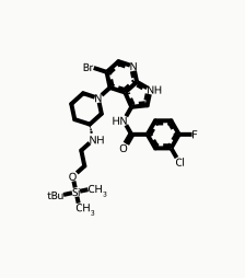 CC(C)(C)[Si](C)(C)OCCN[C@@H]1CCCN(c2c(Br)cnc3[nH]cc(NC(=O)c4ccc(F)c(Cl)c4)c23)C1